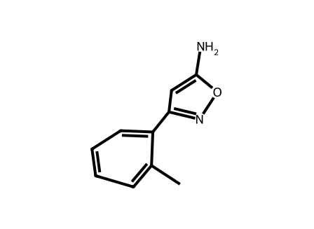 Cc1ccccc1-c1cc(N)on1